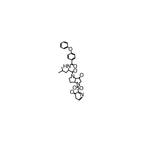 CC(C)CC(NC(=O)c1ccc(Oc2ccccc2)cc1)C(=O)N1CCC2C1C(=O)CN2S(=O)(=O)C1=NC=CCC1=O